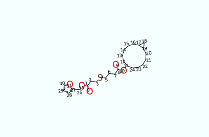 O=C(CCSCCCC(=O)OC1CCCCCC2CC2CCCCC1)OCc1ccco1